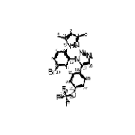 Cc1cc(C)n(-c2ccc(Br)cc2-n2nncc2-c2ccc(OC(F)(F)F)cc2)n1